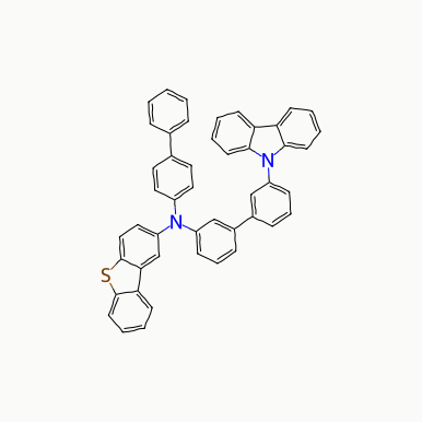 c1ccc(-c2ccc(N(c3cccc(-c4cccc(-n5c6ccccc6c6ccccc65)c4)c3)c3ccc4sc5ccccc5c4c3)cc2)cc1